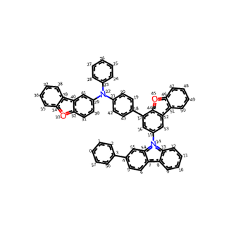 c1ccc(-c2ccc3c4ccccc4n(-c4cc(-c5ccc(N(c6ccccc6)c6ccc7oc8ccccc8c7c6)cc5)c5oc6ccccc6c5c4)c3c2)cc1